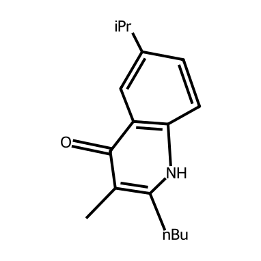 CCCCc1[nH]c2ccc(C(C)C)cc2c(=O)c1C